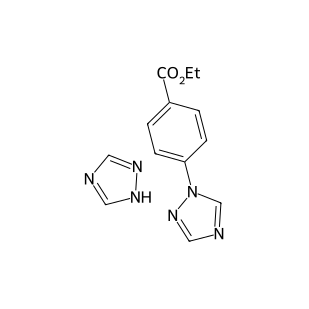 CCOC(=O)c1ccc(-n2cncn2)cc1.c1nc[nH]n1